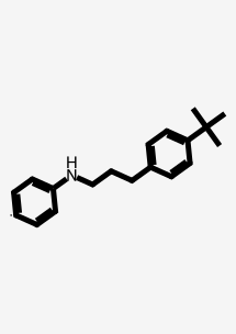 CC(C)(C)c1ccc(CCCNc2cc[c]cc2)cc1